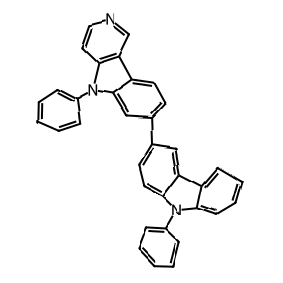 c1ccc(-n2c3ccccc3c3cc(-c4ccc5c6cnccc6n(-c6ccccc6)c5c4)ccc32)cc1